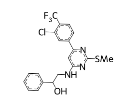 CSc1nc(NCC(O)c2ccccc2)cc(-c2ccc(C(F)(F)F)c(Cl)c2)n1